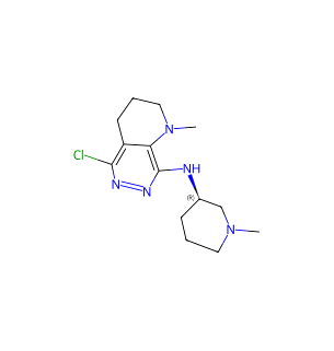 CN1CCC[C@@H](Nc2nnc(Cl)c3c2N(C)CCC3)C1